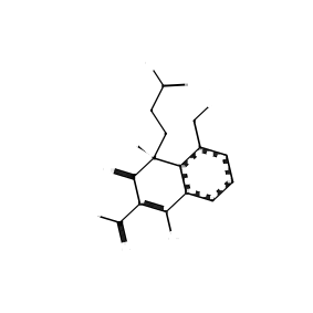 CCc1cccc2c1[C@@](C)(CCC(C)C)C(=O)C(C(=O)O)=C2O